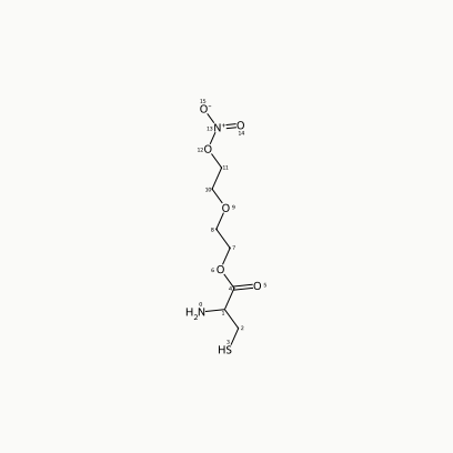 NC(CS)C(=O)OCCOCCO[N+](=O)[O-]